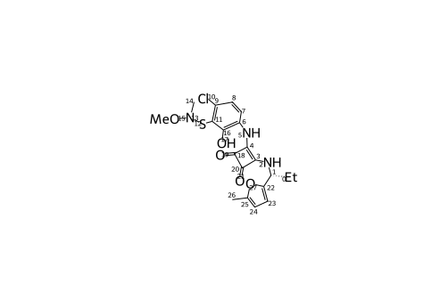 CC[C@@H](Nc1c(Nc2ccc(Cl)c(SN(C)OC)c2O)c(=O)c1=O)c1ccc(C)o1